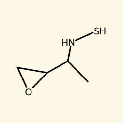 CC(NS)C1CO1